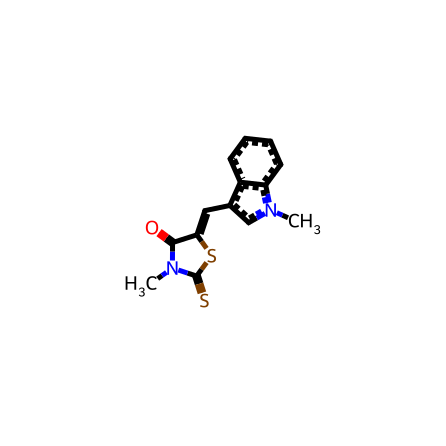 CN1C(=O)/C(=C/c2cn(C)c3ccccc23)SC1=S